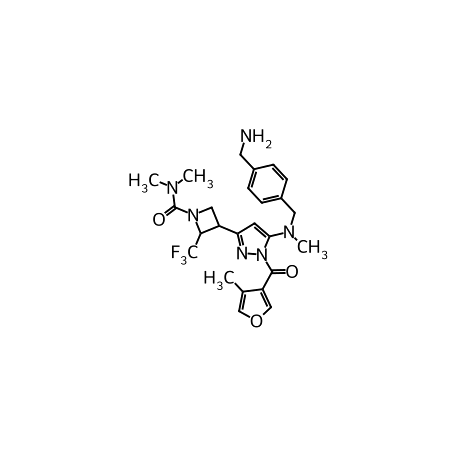 Cc1cocc1C(=O)n1nc(C2CN(C(=O)N(C)C)C2C(F)(F)F)cc1N(C)Cc1ccc(CN)cc1